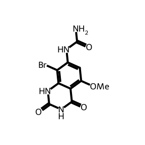 COc1cc(NC(N)=O)c(Br)c2[nH]c(=O)[nH]c(=O)c12